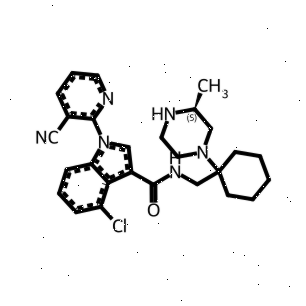 C[C@H]1CN(C2(CNC(=O)c3cn(-c4ncccc4C#N)c4cccc(Cl)c34)CCCCC2)CCN1